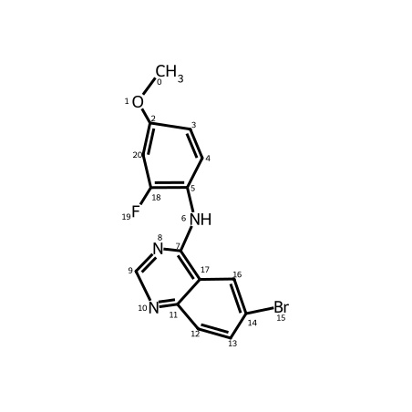 COc1ccc(Nc2ncnc3ccc(Br)cc23)c(F)c1